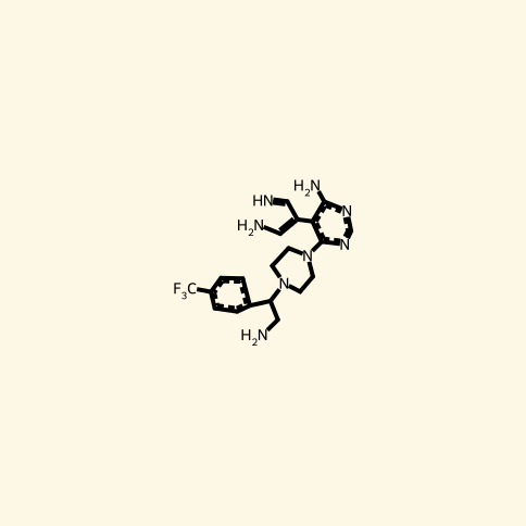 N=C/C(=C\N)c1c(N)ncnc1N1CCN(C(CN)c2ccc(C(F)(F)F)cc2)CC1